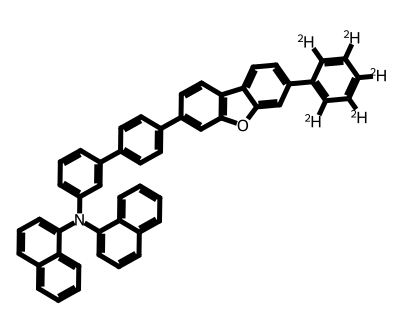 [2H]c1c([2H])c([2H])c(-c2ccc3c(c2)oc2cc(-c4ccc(-c5cccc(N(c6cccc7ccccc67)c6cccc7ccccc67)c5)cc4)ccc23)c([2H])c1[2H]